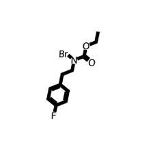 CCOC(=O)N(Br)CCc1ccc(F)cc1